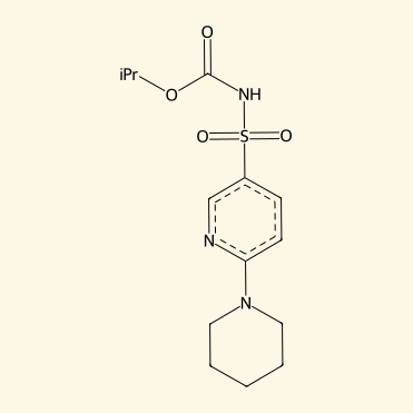 CC(C)OC(=O)NS(=O)(=O)c1ccc(N2CCCCC2)nc1